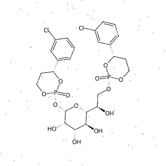 O=[P@]1(OC[C@@H](O)[C@H]2O[C@@H](O[P@]3(=O)OCC[C@H](c4cccc(Cl)c4)O3)[C@@H](O)[C@@H](O)[C@@H]2O)OCC[C@@H](c2cccc(Cl)c2)O1